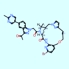 CC(=O)c1nn(CC(=O)N2[C@H]3C[C@]4(C[C@@H]24)Cn2ccc(n2)/C=C\COCc2ccc(Br)nc2NC3=O)c2ccc(-c3cnc(C)nc3)cc12